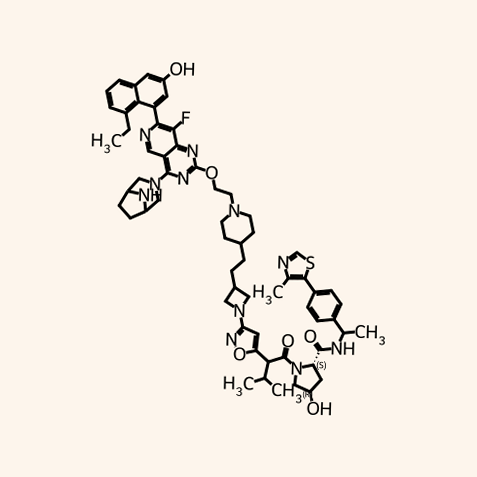 CCc1cccc2cc(O)cc(-c3ncc4c(N5CC6CCC(C5)N6)nc(OCCN5CCC(CCC6CN(c7cc(C(C(=O)N8C[C@H](O)C[C@H]8C(=O)NC(C)c8ccc(-c9scnc9C)cc8)C(C)C)on7)C6)CC5)nc4c3F)c12